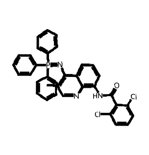 Cc1cnc2c(NC(=O)c3c(Cl)cccc3Cl)cccc2c1N=P(c1ccccc1)(c1ccccc1)c1ccccc1